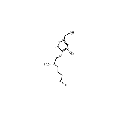 COCCCC(C)COc1nnc(CO)cc1C